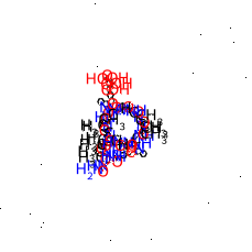 CC(C)[C@H](NC(=O)OC(C)(C)C)C(=O)N[C@@H](CCCNC(N)=O)C(=O)Nc1ccc(COc2cc3ccccc3nc2C(=O)N[C@@H]2CNC(=O)[C@H](C(C)C)N(C)C(=O)CN(C)C(=O)CNC(=O)[C@@H]3CCCCN3C(=O)[C@H](NC(=O)c3nc4ccccc4cc3OCc3ccc(OC4OC(C(=O)O)C(O)C(O)C4O)cc3)CNC(=O)[C@H](C(C)C)N(C)C(=O)CN(C)C(=O)CNC(=O)[C@@H]3CCCCN3C2=O)cc1